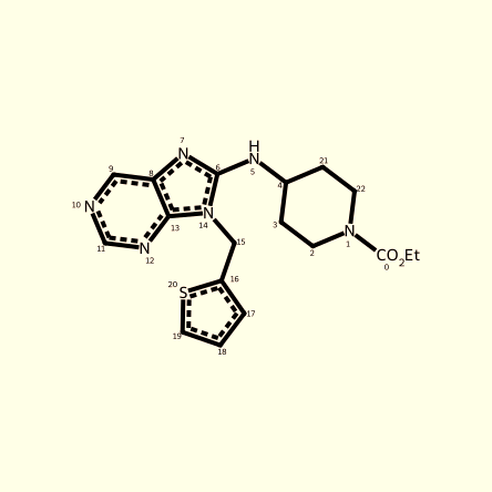 CCOC(=O)N1CCC(Nc2nc3cncnc3n2Cc2cccs2)CC1